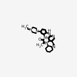 C=CC(=O)Nc1cc(N2CCN(CC)CC2)ccc1Nc1cc(NC2CCCCC2)c(C#N)cn1